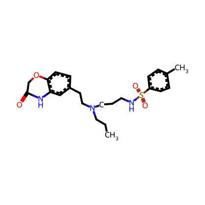 CCCN(CCCNS(=O)(=O)c1ccc(C)cc1)CCc1ccc2c(c1)NC(=O)CO2